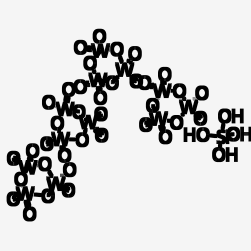 O[Si](O)(O)O.[O]=[W]1(=[O])[O][W](=[O])(=[O])[O][W](=[O])(=[O])[O]1.[O]=[W]1(=[O])[O][W](=[O])(=[O])[O][W](=[O])(=[O])[O]1.[O]=[W]1(=[O])[O][W](=[O])(=[O])[O][W](=[O])(=[O])[O]1.[O]=[W]1(=[O])[O][W](=[O])(=[O])[O][W](=[O])(=[O])[O]1